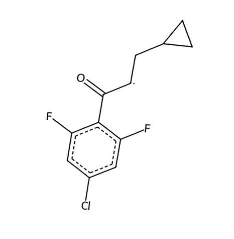 O=C([CH]CC1CC1)c1c(F)cc(Cl)cc1F